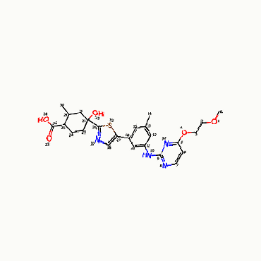 COCCOc1ccnc(Nc2cc(C)cc(-c3cnc(C4(O)CCC(C(=O)O)C(C)C4)s3)c2)n1